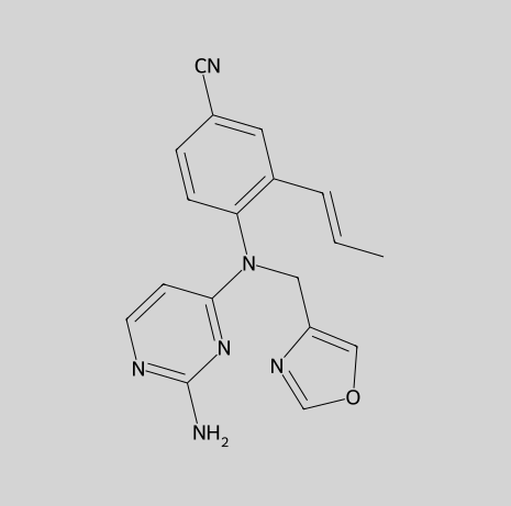 C/C=C/c1cc(C#N)ccc1N(Cc1cocn1)c1ccnc(N)n1